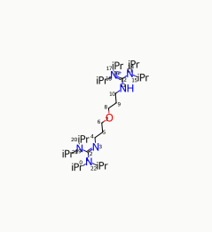 CC(C)N(C(=NCCCOCCCNC(N(C(C)C)C(C)C)=[N+](C(C)C)C(C)C)N(C(C)C)C(C)C)C(C)C